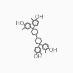 Cc1cc(C2(c3ccc(O)c(C)c3)CCC(C3CCC(c4ccc(O)c(C)c4)(c4ccc(O)c(C)c4)CC3)CC2)ccc1O